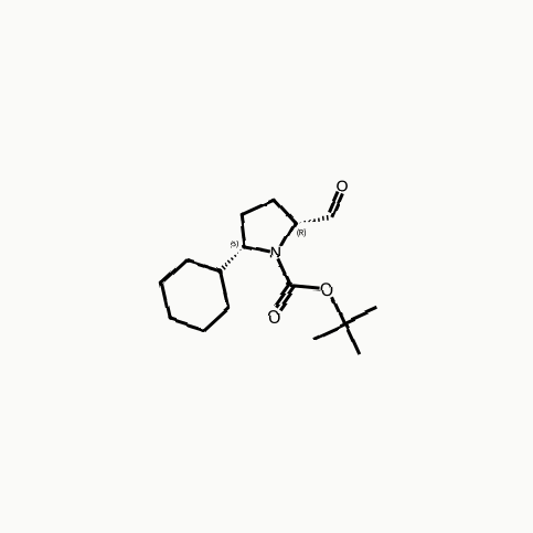 CC(C)(C)OC(=O)N1[C@@H](C=O)CC[C@H]1C1CCCCC1